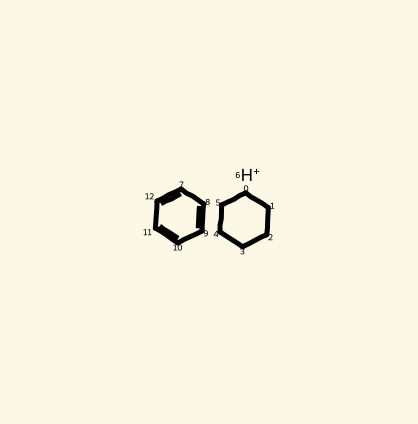 C1CCCCC1.[H+].c1ccccc1